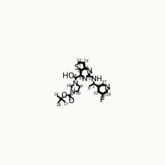 CC(Nc1nc(C(O)N2CCN(C(=O)OC(C)(C)C)C2)c2sccc2n1)c1cncc(F)c1